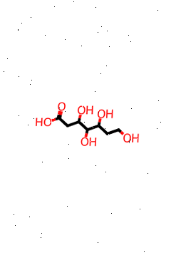 O=C(O)CC(O)C(O)C(O)CCO